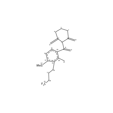 C=C1CCCC(=C)C1C(=C)c1ccc(SC)c(CCCC(F)(F)F)c1C